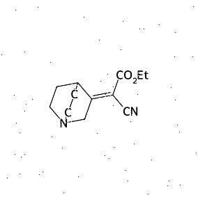 CCOC(=O)C(C#N)=C1CN2CCC1CC2